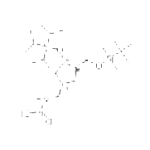 CC(C)[Si](O[C@H]1C[C@H](CNC(=O)O)C[C@@H]1CO[Si](C)(C)C(C)(C)C)(C(C)C)C(C)C